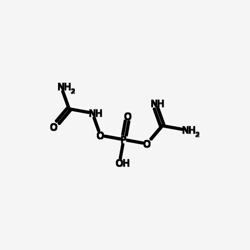 N=C(N)OP(=O)(O)ONC(N)=O